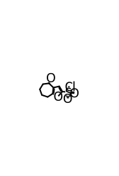 O=C1CCCCc2oc(S(=O)(=O)Cl)cc21